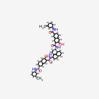 Cc1cccc(NC(=O)c2ccc3cc(O)c(C(=O)Nc4ccc5cccc6c5c4C=CC6NC(=O)c4cc5cc(C(=O)Nc6cccc(C)c6)ccc5cc4O)cc3c2)c1